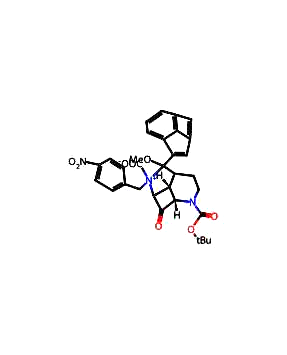 COC1(C2=CC3=Cc4cccc2c43)C2CCN(C(=O)OC(C)(C)C)[C@@H]3C(=O)C([C@H]23)[N+]1(Cc1ccc([N+](=O)[O-])cc1)C(=O)[O-]